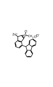 C[Si]1(Cl)C2=C1[CH]([Zr+2])c1cccc(C3c4ccccc4-c4ccccc43)c12.[Cl-].[Cl-]